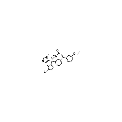 CCOc1cccc(-c2cc(=O)n(C)c3c(C(O)(c4ccc(Cl)s4)c4cncn4C)cccc23)c1